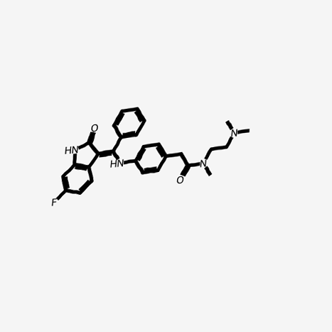 CN(C)CCN(C)C(=O)Cc1ccc(NC(=C2C(=O)Nc3cc(F)ccc32)c2ccccc2)cc1